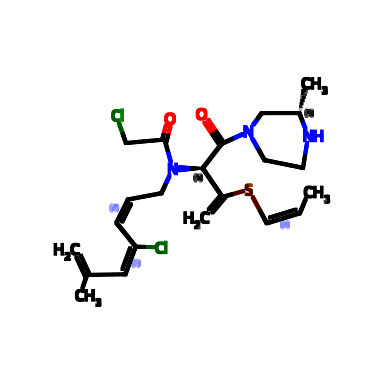 C=C(C)/C=C(Cl)\C=C/CN(C(=O)CCl)[C@H](C(=C)S/C=C\C)C(=O)N1CCN[C@@H](C)C1